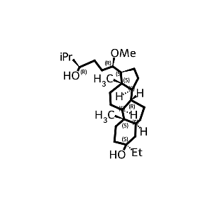 CC[C@]1(O)CC[C@@]2(C)[C@@H](CC[C@@H]3[C@@H]2CC[C@]2(C)[C@@H]([C@@H](CC[C@@H](O)C(C)C)OC)CC[C@@H]32)C1